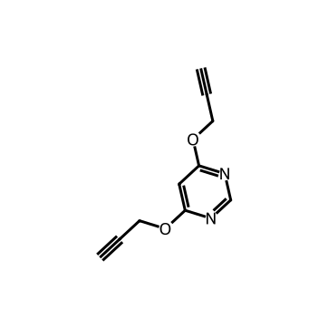 C#CCOc1cc(OCC#C)ncn1